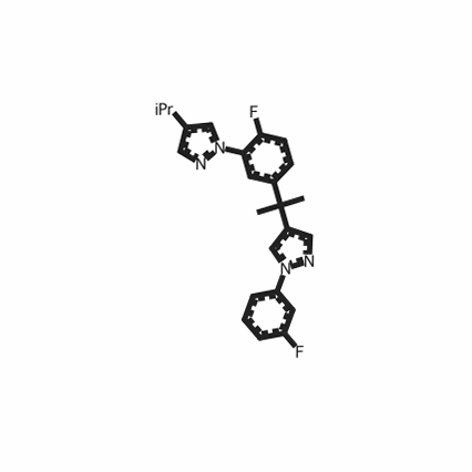 CC(C)c1cnn(-c2cc(C(C)(C)c3cnn(-c4cccc(F)c4)c3)ccc2F)c1